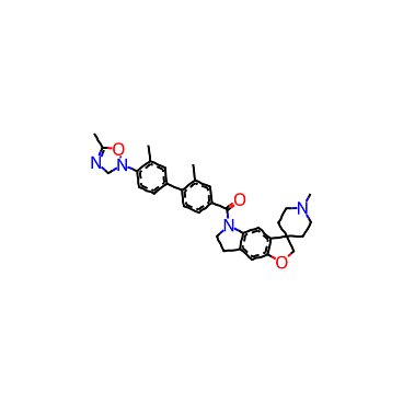 CC1=NCN(c2ccc(-c3ccc(C(=O)N4CCc5cc6c(cc54)C4(CCN(C)CC4)CO6)cc3C)cc2C)O1